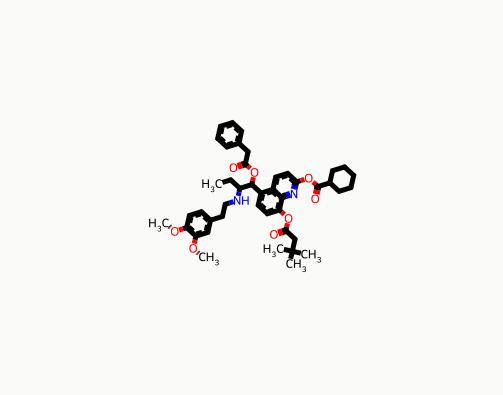 CCC(NCCc1ccc(OC)c(OC)c1)C(OC(=O)Cc1ccccc1)c1ccc(OC(=O)CC(C)(C)C)c2nc(OC(=O)C3CCCCC3)ccc12